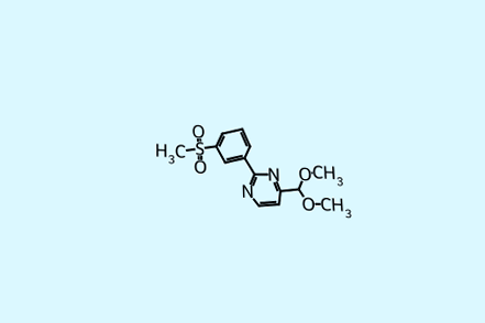 COC(OC)c1ccnc(-c2cccc(S(C)(=O)=O)c2)n1